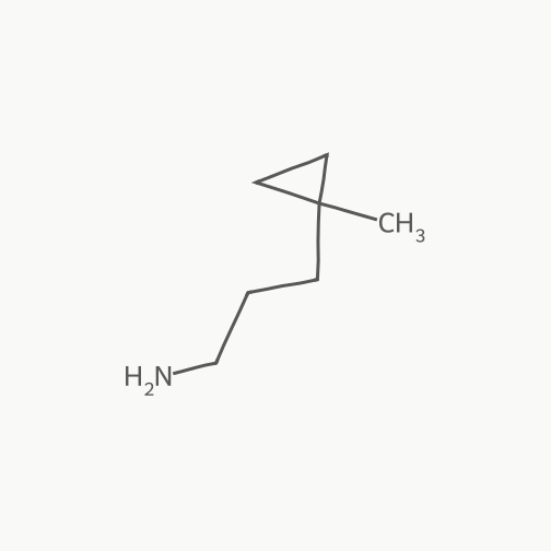 CC1(CCCN)CC1